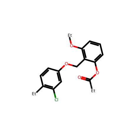 CCOc1cccc(OC(=O)CC)c1COc1ccc(CC)c(Cl)c1